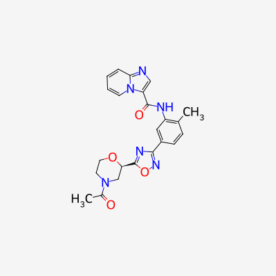 CC(=O)N1CCO[C@@H](c2nc(-c3ccc(C)c(NC(=O)c4cnc5ccccn45)c3)no2)C1